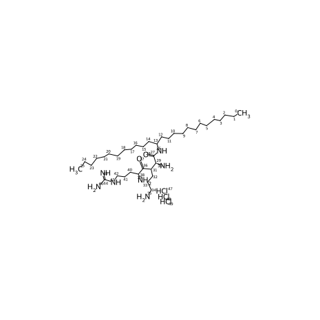 CCCCCCCCCCCCCC(CCCCCCCCCCCC)NC(=O)[C@@H](N)C(CCCN)C(=O)[C@@H](N)CCCNC(=N)N.Cl.Cl.Cl